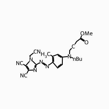 CCCCN(CCCC(=O)OC)c1ccc(N=Nc2nc(C#N)c(C#N)n2CC#N)c(C)c1